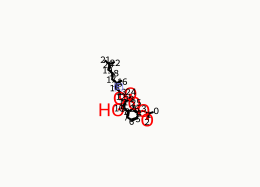 CC(=O)Oc1cccc2c(O)c(OC/C=C(\C)CCC=C(C)C)c(=O)oc12